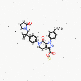 COc1ccc(-n2nc(C(=O)OS)c3c2C(=O)N(c2ccc(C4(CN5CCCC5=O)CC4)cc2)CC3)cc1